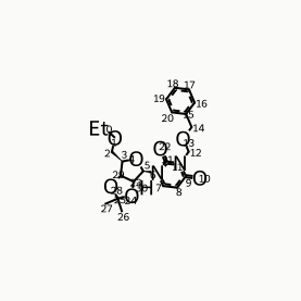 CCOC[C@H]1O[C@@H](n2ccc(=O)n(COCc3ccccc3)c2=O)[C@H]2OC(C)(C)OC12